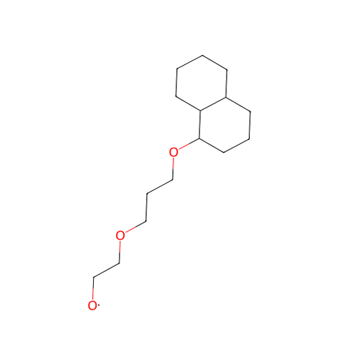 [O]CCOCCCOC1CCCC2CCCCC21